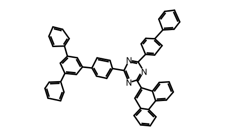 c1ccc(-c2ccc(-c3nc(-c4ccc(-c5cc(-c6ccccc6)cc(-c6ccccc6)c5)cc4)nc(-c4cc5ccccc5c5ccccc45)n3)cc2)cc1